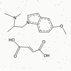 COc1ccc2c(ccn2CC(C)N(C)C)c1.O=C(O)/C=C/C(=O)O